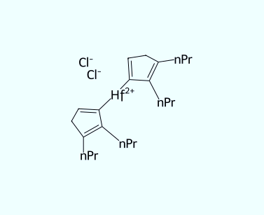 CCCC1=C(CCC)[C]([Hf+2][C]2=CCC(CCC)=C2CCC)=CC1.[Cl-].[Cl-]